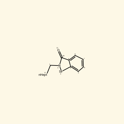 CCCCCCCCn1[se]c2ccccc2c1=O